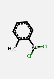 Cc1cccc[c]1[Au]([Cl])[Cl]